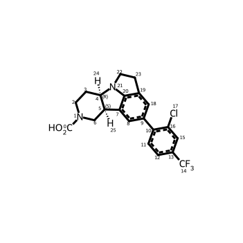 O=C(O)N1CC[C@@H]2[C@H](C1)c1cc(-c3ccc(C(F)(F)F)cc3Cl)cc3c1N2CC3